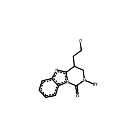 CC(C)N1CC(CCCl)c2nc3ccccc3n2C1=O